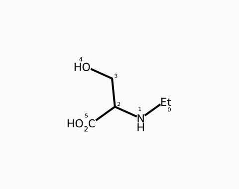 CCNC(CO)C(=O)O